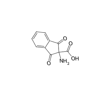 NC1(C(=O)O)C(=O)c2ccccc2C1=O